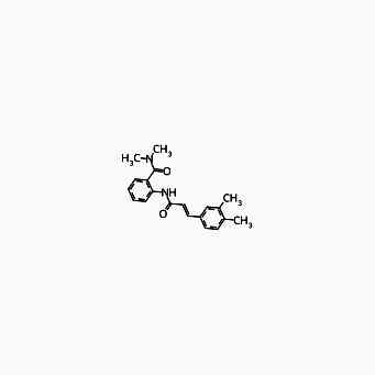 Cc1ccc(/C=C/C(=O)Nc2ccccc2C(=O)N(C)C)cc1C